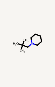 [CH2]C(C)(C)CN1CCCCC1